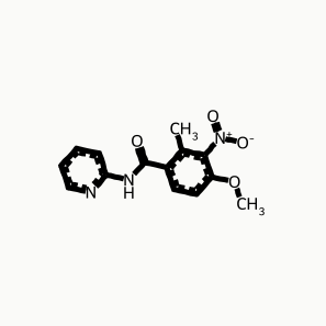 COc1ccc(C(=O)Nc2ccccn2)c(C)c1[N+](=O)[O-]